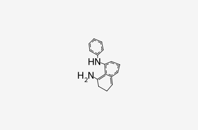 NC1=c2c(Nc3ccccc3)cccc2=CCC1